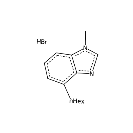 Br.CCCCCCc1cccc2c1ncn2C